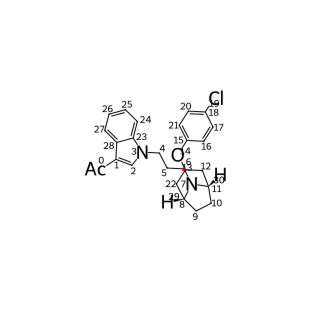 CC(=O)c1cn(CCCN2[C@@H]3CC[C@H]2CC(Oc2ccc(Cl)cc2)C3)c2ccccc12